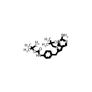 CC(C)(C)Cn1c(Cc2ccc(NC(=O)OC(C)(C)C)cc2)cc2cnc(N)nc21